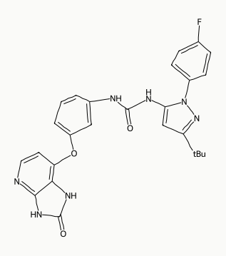 CC(C)(C)c1cc(NC(=O)Nc2cccc(Oc3ccnc4[nH]c(=O)[nH]c34)c2)n(-c2ccc(F)cc2)n1